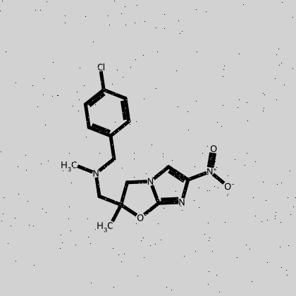 CN(Cc1ccc(Cl)cc1)CC1(C)Cn2cc([N+](=O)[O-])nc2O1